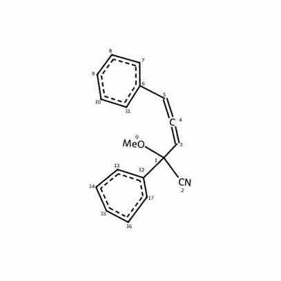 COC(C#N)(C=C=Cc1ccccc1)c1ccccc1